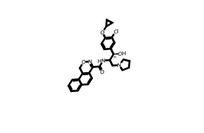 O=C(NC(CN1CCCC1)[C@H](O)c1ccc(OC2CC2)c(Cl)c1)C1=NOCc2c1ccc1ccccc21